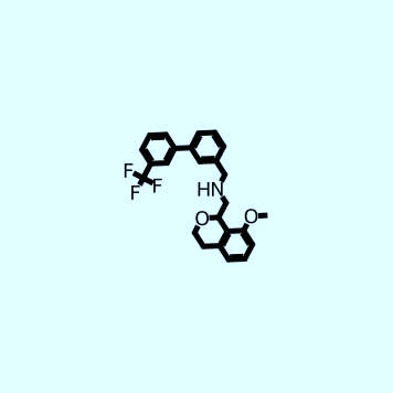 COc1cccc2c1C(CNCc1cccc(-c3cccc(C(F)(F)F)c3)c1)OCC2